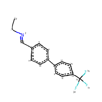 [CH2]CN=Cc1ccc(-c2ccc(C(F)(F)F)cc2)cc1